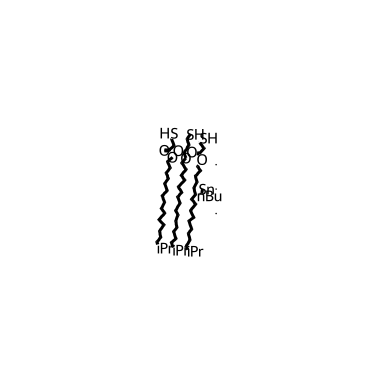 CC(C)CCCCCCCCCCCCCCCOC(=O)CCS.CC(C)CCCCCCCCCCCCCCCOC(=O)CCS.CC(C)CCCCCCCCCCCCCCCOC(=O)CCS.CCC[CH2][Sn]